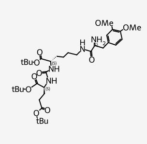 COc1ccc(C[C@H](N)C(=O)NCCCC[C@H](NC(=O)N[C@@H](CCC(=O)OC(C)(C)C)C(=O)OC(C)(C)C)C(=O)OC(C)(C)C)cc1OC